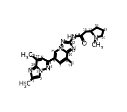 Cc1cn2nc(-c3cc(F)c4nc(NC(=O)CC5CCCN5C)nn4c3)cc(C)c2n1